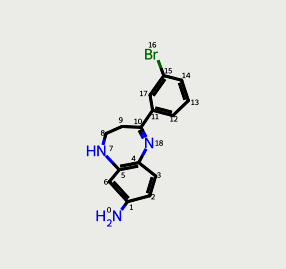 Nc1ccc2c(c1)NCCC(c1cccc(Br)c1)=N2